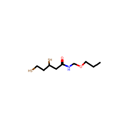 CCCOCNC(=O)CC(S)CCS